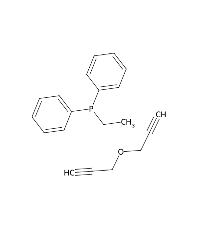 C#CCOCC#C.CCP(c1ccccc1)c1ccccc1